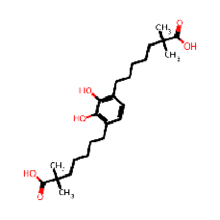 CC(C)(CCCCCc1ccc(CCCCCC(C)(C)C(=O)O)c(O)c1O)C(=O)O